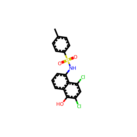 Cc1ccc(S(=O)(=O)Nc2cccc3c(O)c(Cl)cc(Cl)c23)cc1